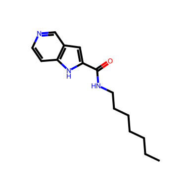 CCCCCCCNC(=O)c1cc2cnccc2[nH]1